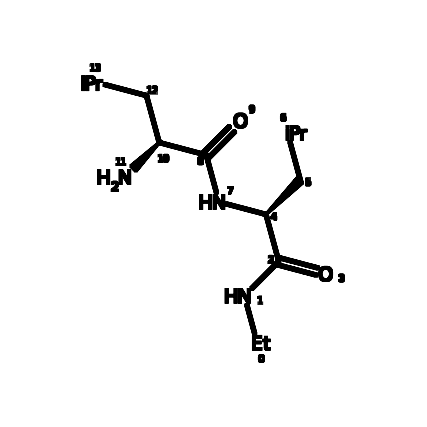 CCNC(=O)[C@H](CC(C)C)NC(=O)[C@@H](N)CC(C)C